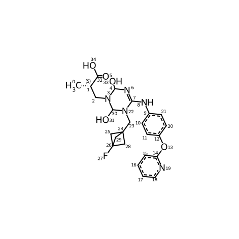 C[C@@H](CN1C(O)N=C(Nc2ccc(Oc3ccccn3)cc2)N(CC23CC(F)(C2)C3)C1O)C(=O)O